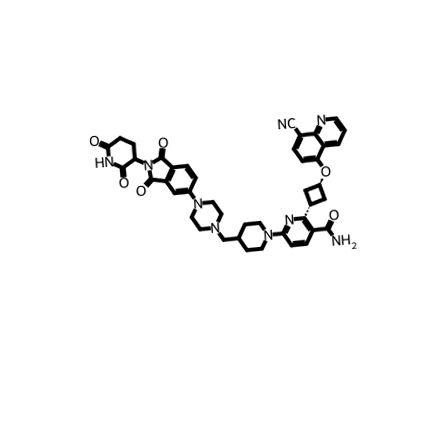 N#Cc1ccc(O[C@H]2C[C@@H](c3nc(N4CCC(CN5CCN(c6ccc7c(c6)C(=O)N(C6CCC(=O)NC6=O)C7=O)CC5)CC4)ccc3C(N)=O)C2)c2cccnc12